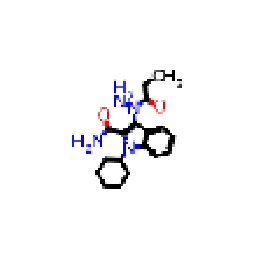 CCC(=O)N(N)c1c(C(N)=O)n(C2CCCCC2)c2ccccc12